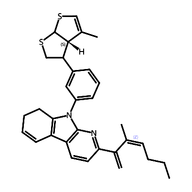 C=C(/C(C)=C\CCC)c1ccc2c3c(n(-c4cccc(C5CSC6SC=C(C)[C@@H]65)c4)c2n1)CCC=C3